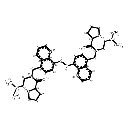 CN(C)CCN(Cc1ccc(SSc2ccc(CN(CCN(C)C)C(=O)C3CCCO3)c3cccnc23)c2ncccc12)C(=O)C1CCCO1